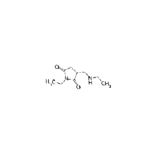 CCNCC1CC(=O)N(CC)C1=O